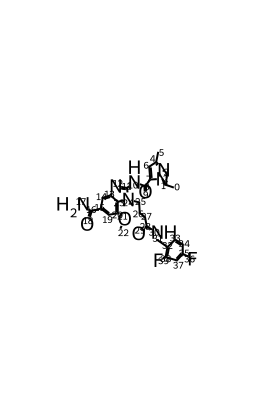 CCn1nc(C)cc1C(=O)Nc1nc2cc(C(N)=O)cc(OC)c2n1CCCC(=O)NCc1ccc(F)cc1F